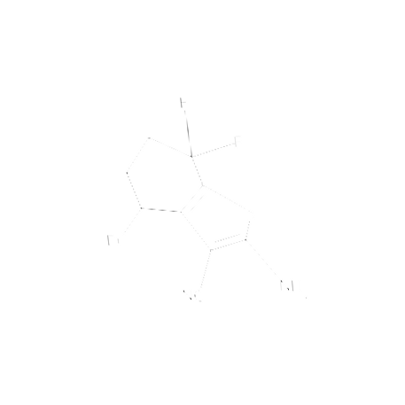 CCC1CCC(F)(F)c2sc(N)c(C#N)c21